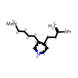 C=C(CCC)CCc1ccncc1CCCCNC